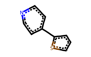 [c]1ccc(-c2ccncc2)s1